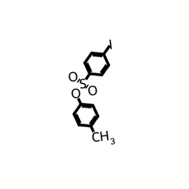 Cc1ccc(OS(=O)(=O)c2ccc(I)cc2)cc1